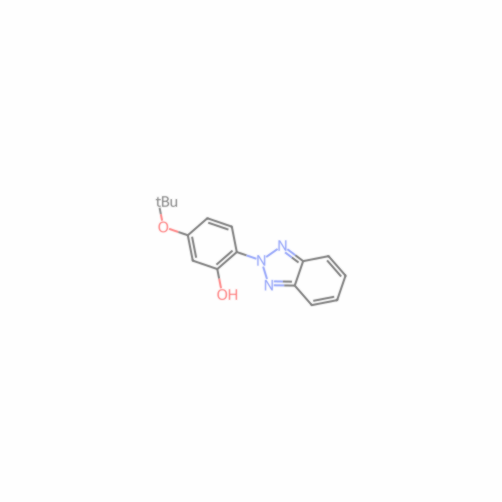 CC(C)(C)Oc1ccc(-n2nc3ccccc3n2)c(O)c1